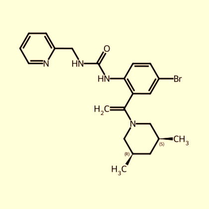 C=C(c1cc(Br)ccc1NC(=O)NCc1ccccn1)N1C[C@H](C)C[C@H](C)C1